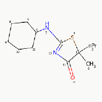 CCCC1(C)SC(NC2CCCCC2)=NC1=O